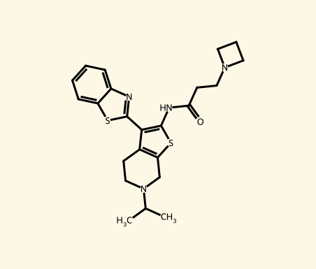 CC(C)N1CCc2c(sc(NC(=O)CCN3CCC3)c2-c2nc3ccccc3s2)C1